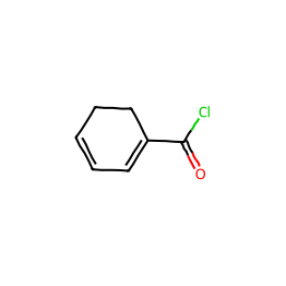 O=C(Cl)C1=CC=CCC1